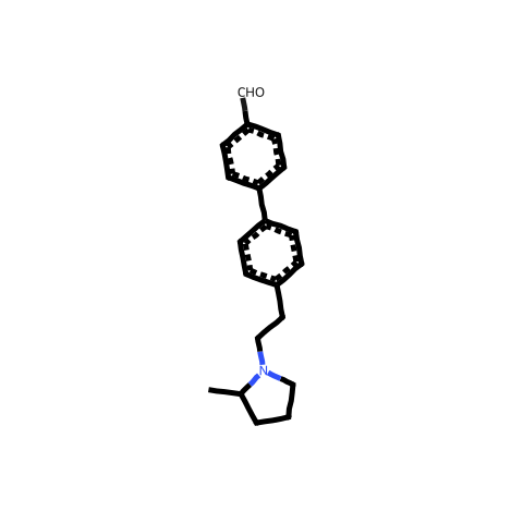 CC1CCCN1CCc1ccc(-c2ccc(C=O)cc2)cc1